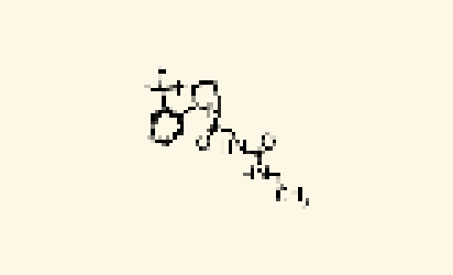 CCNC(=O)NCC(=O)N1CCCC1c1ccccc1C(F)(F)F